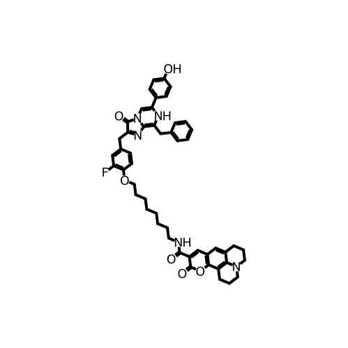 O=C(NCCCCCCCCOc1ccc(Cc2nc3c(Cc4ccccc4)[nH]c(-c4ccc(O)cc4)cn-3c2=O)cc1F)c1cc2cc3c4c(c2oc1=O)CCCN4CCC3